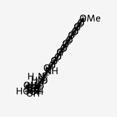 [CH2]c1ccc(O[C@H]2O[C@H](CO)[C@@H](O)[C@H](O)[C@@H]2O)c(NC(=O)CCNC(=O)[C@@H](N)CCCCNC(=O)CCOCCOCCOCCOCCOCCOCCOCCOCCOCCOCCOCCOC)c1